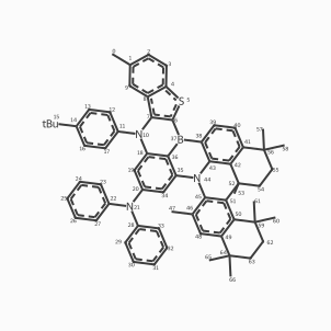 Cc1ccc2sc3c(c2c1)N(c1ccc(C(C)(C)C)cc1)c1cc(N(c2ccccc2)c2ccccc2)cc2c1B3c1ccc3c4c1N2c1c(C)cc2c(c1C4(C)CCC3(C)C)C(C)(C)CCC2(C)C